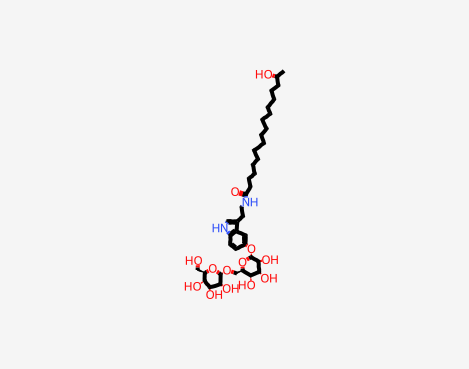 CC(O)CCCCCCCCCCCCCCCC(=O)NCCc1c[nH]c2ccc(O[C@H]3O[C@H](CO[C@H]4O[C@H](CO)[C@@H](O)[C@@H](O)[C@@H]4O)[C@@H](O)[C@@H](O)[C@@H]3O)cc12